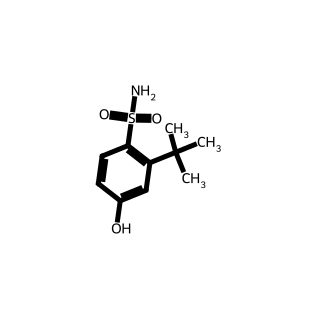 CC(C)(C)c1cc(O)ccc1S(N)(=O)=O